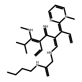 C=C/C(C(=N)C(=C\NCC(=C)NCCCC)/C(C=C)=C1\N=CC=CN1C)=C(/NC)C(C)C